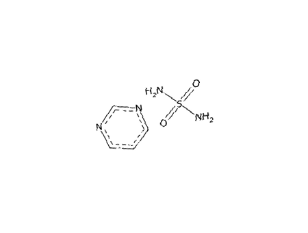 NS(N)(=O)=O.c1cncnc1